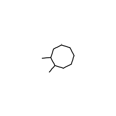 CC1C[CH]CCCCC1C